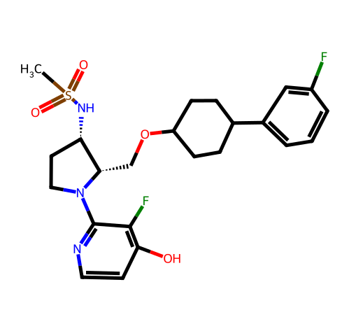 CS(=O)(=O)N[C@H]1CCN(c2nccc(O)c2F)[C@H]1COC1CCC(c2cccc(F)c2)CC1